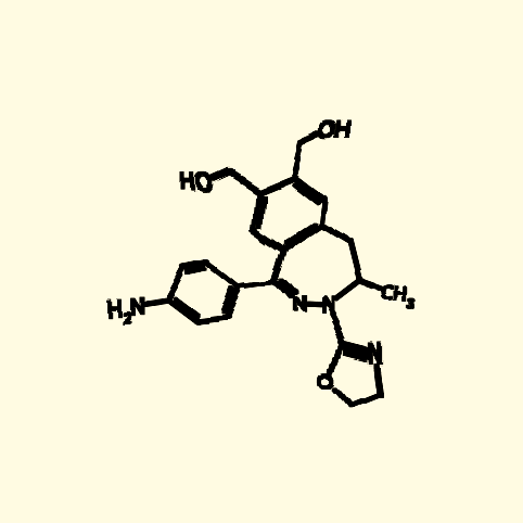 CC1Cc2cc(CO)c(CO)cc2C(c2ccc(N)cc2)=NN1C1=NCCO1